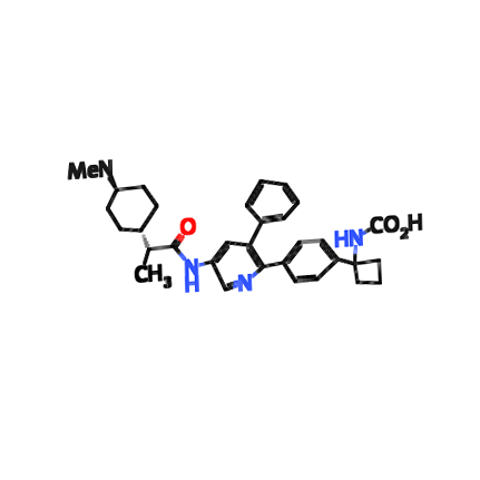 CN[C@H]1CC[C@H](C(C)C(=O)Nc2cnc(-c3ccc(C4(NC(=O)O)CCC4)cc3)c(-c3ccccc3)c2)CC1